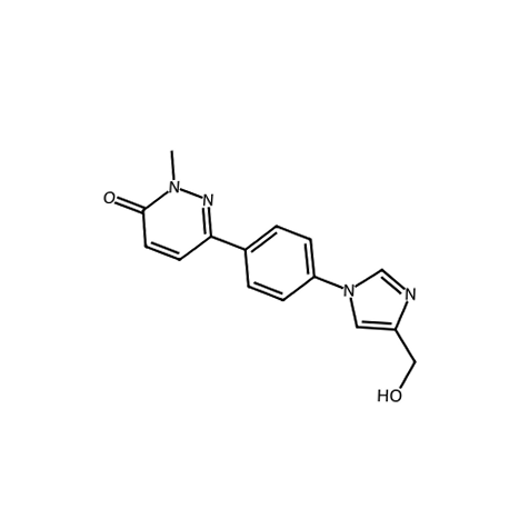 Cn1nc(-c2ccc(-n3cnc(CO)c3)cc2)ccc1=O